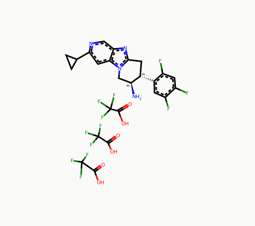 N[C@H]1Cn2c(nc3cnc(C4CC4)cc32)C[C@@H]1c1cc(F)c(F)cc1F.O=C(O)C(F)(F)F.O=C(O)C(F)(F)F.O=C(O)C(F)(F)F